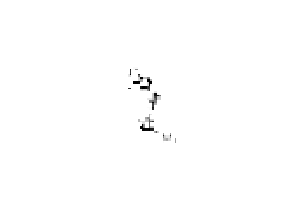 COCc1ccnc(OCc2cn(-c3ccc(Cl)c(C(F)F)c3)nn2)n1